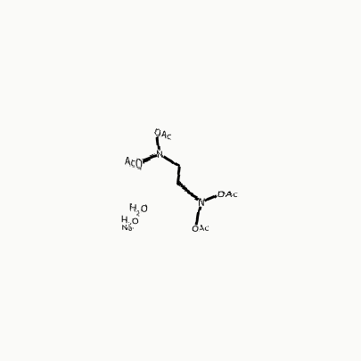 CC(=O)ON(CCN(OC(C)=O)OC(C)=O)OC(C)=O.O.O.[Na]